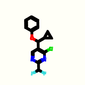 FC(F)c1ncc(C(Oc2ccccc2)C2CC2)c(Cl)n1